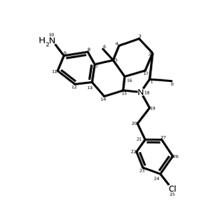 CC1C2CCC3(C)c4cc(N)ccc4CC(C3C2)N1CCc1ccc(Cl)cc1